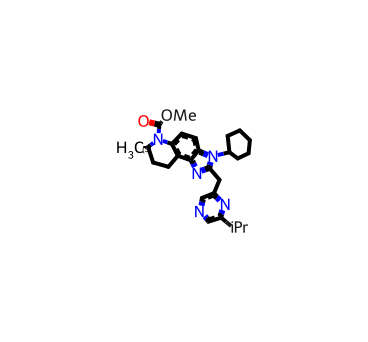 COC(=O)N1c2ccc3c(nc(Cc4cncc(C(C)C)n4)n3C3CCCCC3)c2CC[C@@H]1C